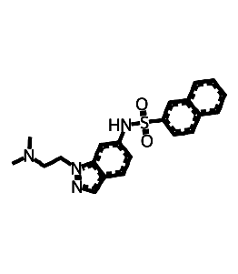 CN(C)CCn1ncc2ccc(NS(=O)(=O)c3ccc4ccccc4c3)cc21